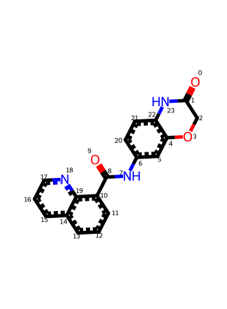 O=C1COc2cc(NC(=O)c3cccc4cccnc34)ccc2N1